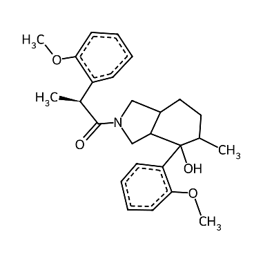 COc1ccccc1[C@H](C)C(=O)N1CC2CCC(C)C(O)(c3ccccc3OC)C2C1